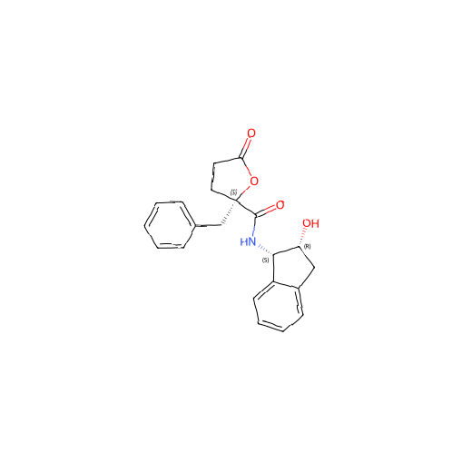 O=C1CC[C@](Cc2ccccc2)(C(=O)N[C@H]2c3ccccc3C[C@H]2O)O1